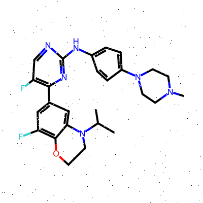 CC(C)N1CCOc2c(F)cc(-c3nc(Nc4ccc(N5CCN(C)CC5)cc4)ncc3F)cc21